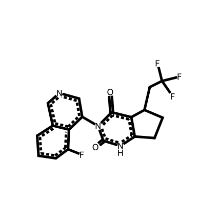 O=c1[nH]c2c(c(=O)n1-c1cncc3cccc(F)c13)C(CC(F)(F)F)CC2